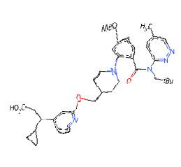 COc1ccc(C(=O)N(CC(C)(C)C)c2cc(C)cnn2)c(N2CCC(COc3cc(C(CC(=O)O)C4CC4)ccn3)CC2)c1